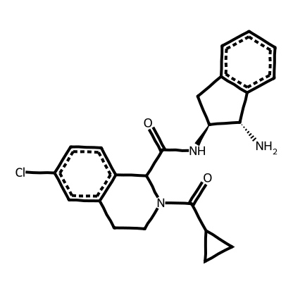 N[C@H]1c2ccccc2C[C@@H]1NC(=O)C1c2ccc(Cl)cc2CCN1C(=O)C1CC1